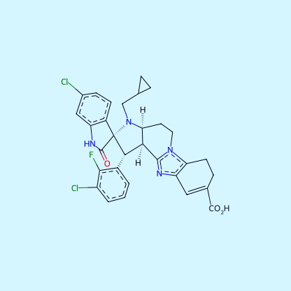 O=C(O)C1=Cc2nc3n(c2CC1)CC[C@H]1[C@@H]3[C@H](c2cccc(Cl)c2F)[C@]2(C(=O)Nc3cc(Cl)ccc32)N1CC1CC1